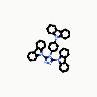 c1ccc2c(c1)c1ccccc1n2-c1ccc(-n2c(-n3c4ccccc4c4ccccc43)nnc2-n2c3ccccc3c3ccccc32)cc1